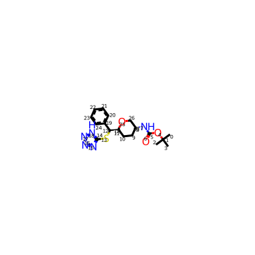 CC(C)(C)OC(=O)N[C@@H]1CC[C@@H](C(Sc2nnn[nH]2)c2ccccc2)OC1